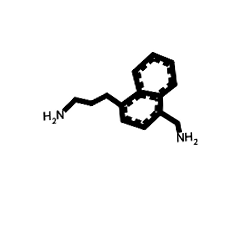 NCCCc1ccc(CN)c2ccccc12